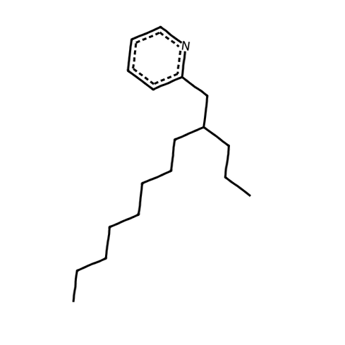 CCCCCCCCC(CCC)Cc1ccccn1